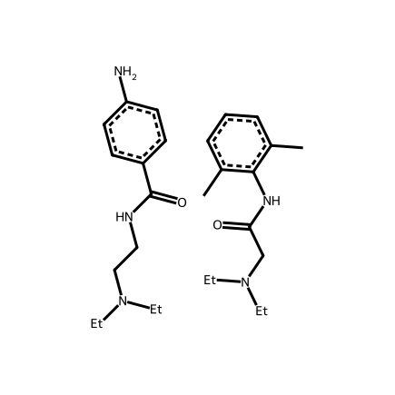 CCN(CC)CC(=O)Nc1c(C)cccc1C.CCN(CC)CCNC(=O)c1ccc(N)cc1